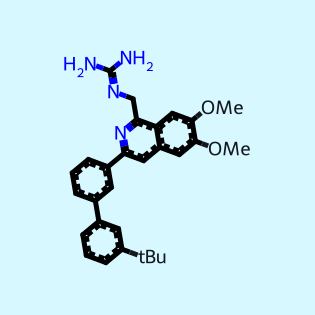 COc1cc2cc(-c3cccc(-c4cccc(C(C)(C)C)c4)c3)nc(CN=C(N)N)c2cc1OC